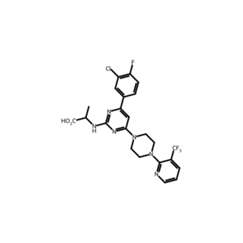 CC(Nc1nc(-c2ccc(F)c(Cl)c2)cc(N2CCN(c3ncccc3C(F)(F)F)CC2)n1)C(=O)O